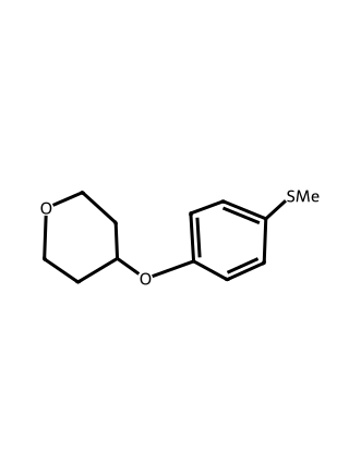 [CH2]Sc1ccc(OC2CCOCC2)cc1